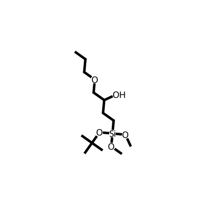 CCCOCC(O)CC[Si](OC)(OC)OC(C)(C)C